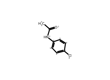 CC(=O)Nc1[c]cc(Cl)cc1